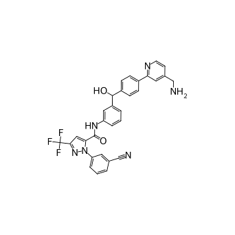 N#Cc1cccc(-n2nc(C(F)(F)F)cc2C(=O)Nc2cccc(C(O)c3ccc(-c4cc(CN)ccn4)cc3)c2)c1